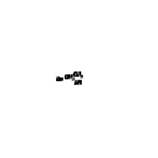 O.O.[KH].[Ru]